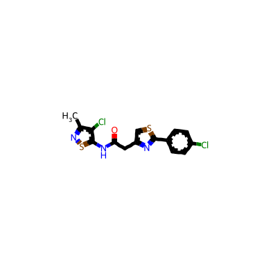 Cc1nsc(NC(=O)Cc2csc(-c3ccc(Cl)cc3)n2)c1Cl